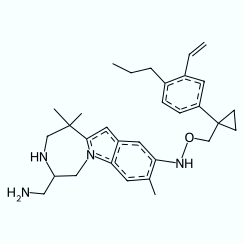 C=Cc1cc(C2(CONc3cc4cc5n(c4cc3C)CC(CN)NCC5(C)C)CC2)ccc1CCC